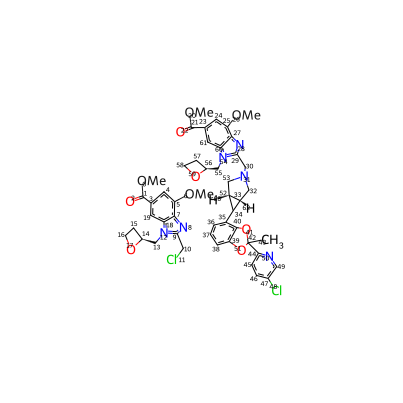 COC(=O)c1cc(OC)c2nc(CCl)n(C[C@@H]3CCO3)c2c1.COC(=O)c1cc(OC)c2nc(CN3C[C@@H]4C(c5cccc6c5OC(C)(c5ccc(Cl)cn5)O6)[C@@H]4C3)n(C[C@@H]3CCO3)c2c1